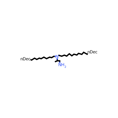 CCCCCCCCCCCCCCCCCCCCCCN(CCCCCCCCCCCCCCCCCCCC)C(C)CN